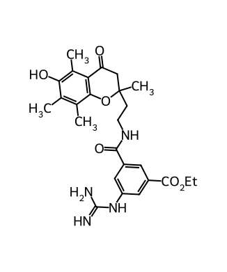 CCOC(=O)c1cc(NC(=N)N)cc(C(=O)NCCC2(C)CC(=O)c3c(C)c(O)c(C)c(C)c3O2)c1